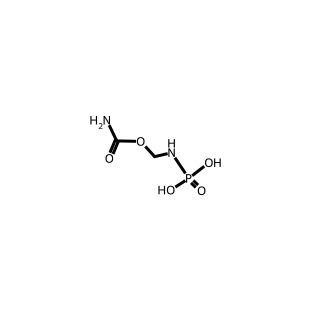 NC(=O)OCNP(=O)(O)O